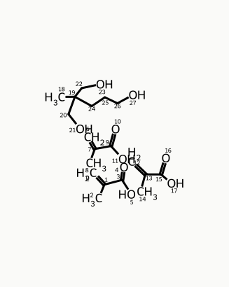 C=C(C)C(=O)O.C=C(C)C(=O)O.C=C(C)C(=O)O.CC(CO)(CO)CCCO